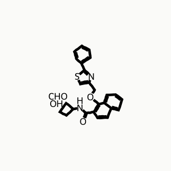 O=C(NC1CCC1)c1ccc2ccccc2c1OCc1csc(-c2ccccc2)n1.O=CO